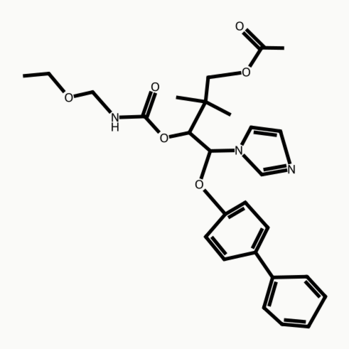 CCOCNC(=O)OC(C(Oc1ccc(-c2ccccc2)cc1)n1ccnc1)C(C)(C)COC(C)=O